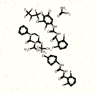 CC(C)N1C(=O)N(c2ccccc2)CSC1=NC(C)(C)C.NC(N)=O.O=C(NC(=O)c1c(F)cccc1F)Nc1cc(Cl)c(OC(F)(F)C(F)C(F)(F)F)c(Cl)c1F.O=C(NC(=O)c1c(F)cccc1F)Nc1ccc(Cl)cc1